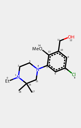 CCN1CCN(c2cc(Cl)cc(CO)c2OC)CC1(C)C